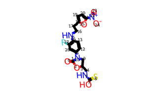 O=C1OC(CNC(O)=S)CN1c1ccc(NCCc2ccc([N+](=O)[O-])o2)c(F)c1